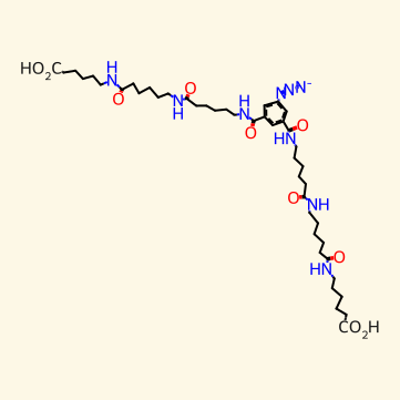 [N-]=[N+]=Nc1cc(C(=O)NCCCCCC(=O)NCCCCCC(=O)NCCCCCC(=O)O)cc(C(=O)NCCCCCC(=O)NCCCCCC(=O)NCCCCCC(=O)O)c1